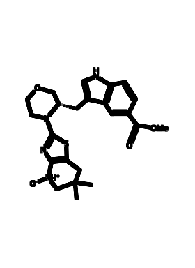 COC(=O)c1ccc2[nH]cc(C[C@H]3COCCN3c3nc4c(s3)CC(C)(C)C[NH+]4[O-])c2c1